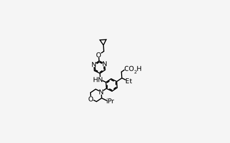 CCC(CC(=O)O)c1ccc(N2CCOCC2C(C)C)c(Nc2cnc(OCC3CC3)nc2)c1